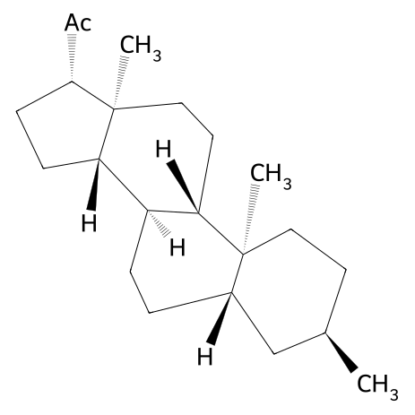 CC(=O)[C@H]1CC[C@H]2[C@@H]3CC[C@H]4C[C@H](C)CC[C@]4(C)[C@H]3CC[C@]12C